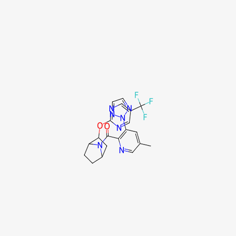 Cc1cnc(C(=O)N2C3CCC2C(Oc2ncc(C(F)(F)F)cn2)C3)c(-n2nccn2)c1